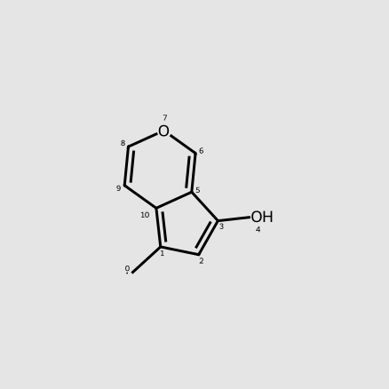 [CH2]c1cc(O)c2coccc1-2